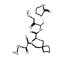 CC(C)(C)NC(=O)C(=O)N1CC2(CCC2)CC1C(=O)NC(C[C@@H]1CCNC1=O)C(=O)COC(F)(F)F